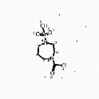 CS(=O)(=O)N1CCCN(C(=O)Cl)CC1